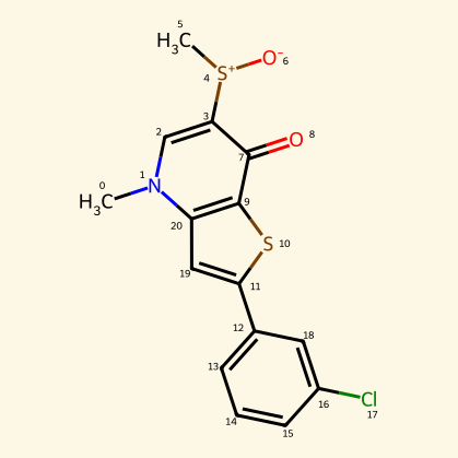 Cn1cc([S+](C)[O-])c(=O)c2sc(-c3cccc(Cl)c3)cc21